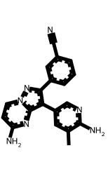 Cc1cc(-c2c(-c3cccc(C#N)c3)nn3ccc(N)nc23)cnc1N